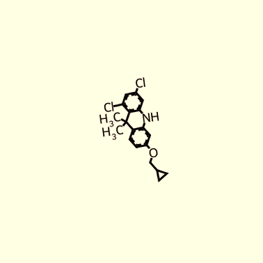 CC1(C)c2ccc(OCC3CC3)cc2Nc2cc(Cl)cc(Cl)c21